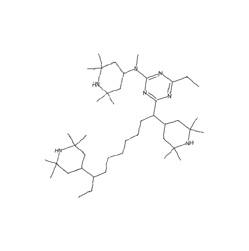 CCc1nc(C(CCCCCCC(CC)C2CC(C)(C)NC(C)(C)C2)C2CC(C)(C)NC(C)(C)C2)nc(N(C)C2CC(C)(C)NC(C)(C)C2)n1